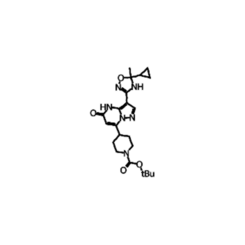 CC(C)(C)OC(=O)N1CCC(c2cc(=O)[nH]c3c(C4=NOC(C)(C5CC5)N4)cnn23)CC1